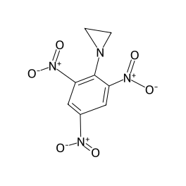 O=[N+]([O-])c1cc([N+](=O)[O-])c(N2CC2)c([N+](=O)[O-])c1